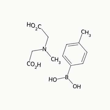 CN(CC(=O)O)CC(=O)O.Cc1ccc(B(O)O)cc1